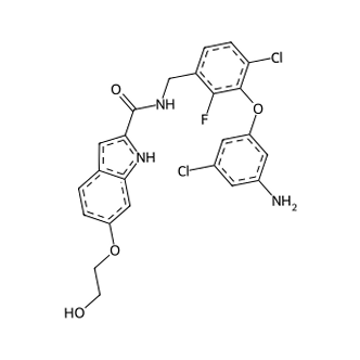 Nc1cc(Cl)cc(Oc2c(Cl)ccc(CNC(=O)c3cc4ccc(OCCO)cc4[nH]3)c2F)c1